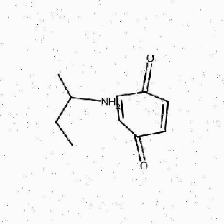 CCC(C)N.O=C1C=CC(=O)C=C1